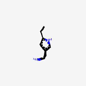 CCc1cc(C=N)c[nH]1